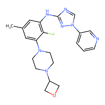 Cc1cc(Nc2ncn(-c3cccnc3)n2)c(F)c(N2CCN(C3COC3)CC2)c1